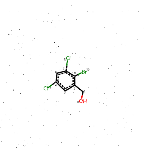 OCc1cc(Cl)cc(Cl)c1Br